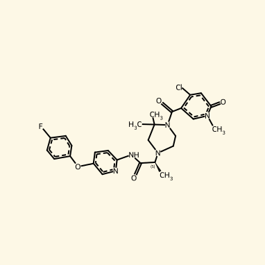 C[C@@H](C(=O)Nc1ccc(Oc2ccc(F)cc2)cn1)N1CCN(C(=O)c2cn(C)c(=O)cc2Cl)C(C)(C)C1